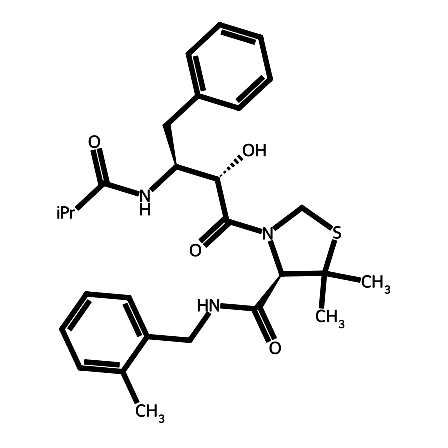 Cc1ccccc1CNC(=O)[C@H]1N(C(=O)[C@@H](O)[C@H](Cc2ccccc2)NC(=O)C(C)C)CSC1(C)C